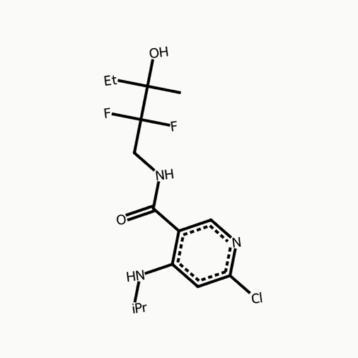 CCC(C)(O)C(F)(F)CNC(=O)c1cnc(Cl)cc1NC(C)C